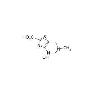 CN1C=Nc2nc(C(=O)O)sc2C1.[LiH]